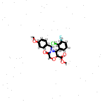 COC(=O)C1OCC(=O)N(Cc2ccc(OC)cc2)C1c1cccc(F)c1Cl